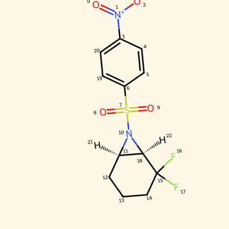 O=[N+]([O-])c1ccc(S(=O)(=O)N2[C@@H]3CCCC(F)(F)[C@@H]32)cc1